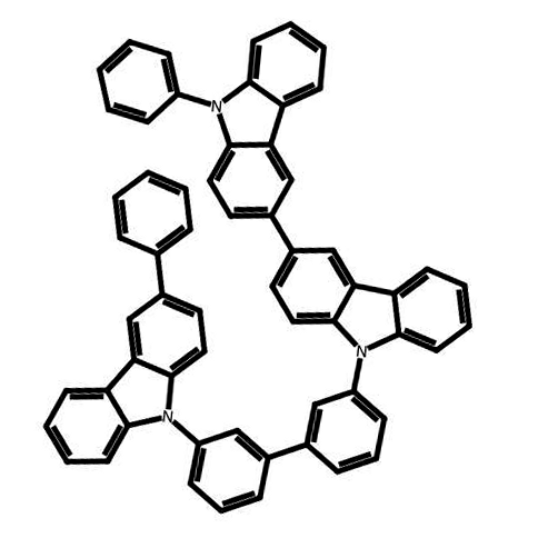 c1ccc(-c2ccc3c(c2)c2ccccc2n3-c2cccc(-c3cccc(-n4c5ccccc5c5cc(-c6ccc7c(c6)c6ccccc6n7-c6ccccc6)ccc54)c3)c2)cc1